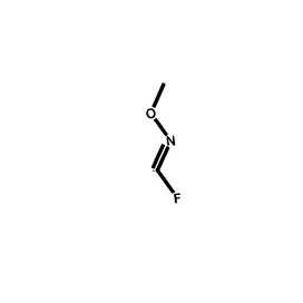 CO/N=[C]/F